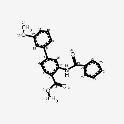 COC(=O)c1ccc(-c2cccc(OC)c2)cc1NC(=O)c1ccccc1